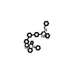 N/C(=C\C(=N/Cc1ccccc1)c1ccccc1)c1ccc(-c2cccc(-c3ccc4c(c3)C3(c5ccccc5N(c5ccccc5)c5ccccc53)C3(C=CC=N3)C4)c2)cc1